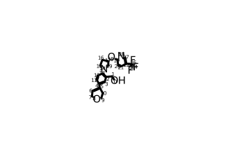 OCc1cc(C2=CCOCC2)ccc1N1CCC(Oc2ccc(C(F)(F)F)cn2)C1